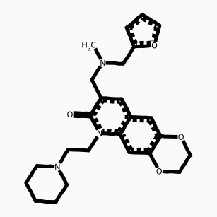 CN(Cc1ccco1)Cc1cc2cc3c(cc2n(CCN2CCCCC2)c1=O)OCCO3